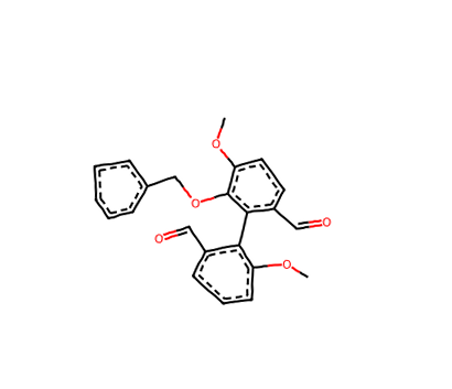 COc1ccc(C=O)c(-c2c(C=O)cccc2OC)c1OCc1ccccc1